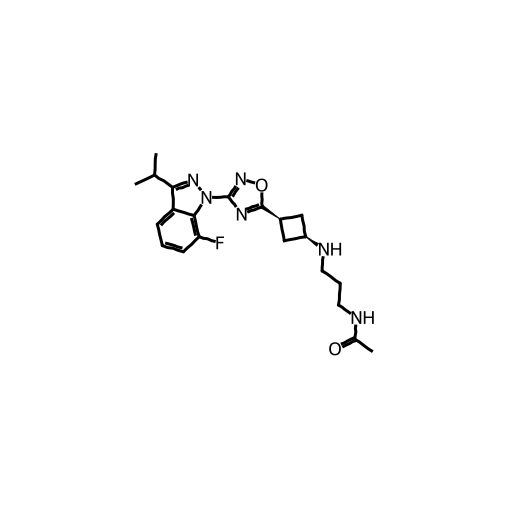 CC(=O)NCCCN[C@H]1C[C@@H](c2nc(-n3nc(C(C)C)c4cccc(F)c43)no2)C1